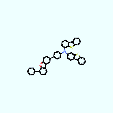 c1ccc(-c2cccc3c2oc2ccc(-c4ccc(N(c5ccc6c(c5)sc5ccccc56)c5cccc6c5sc5ccccc56)cc4)cc23)cc1